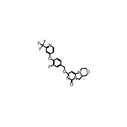 C[C@@]12COCCN1c1cc(OCc3ccc(Oc4ccnc(C(F)(F)F)c4)c(F)c3)nc(=O)n1C2